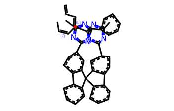 C=C/C=C(\C=C/C)c1nc(C)nc(-c2ccc3c(c2)C2(c4ccccc4-3)c3ccccc3-c3ccc(-c4nc(C)nc(-c5ccccc5)n4)cc32)n1